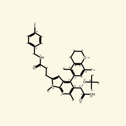 Cc1nc2c(cc(CCC(=O)NCc3ccc(F)cc3)n2C)c(-c2cc(F)c3c(c2C)CCCO3)c1[C@H](OC(C)(C)C)C(=O)O